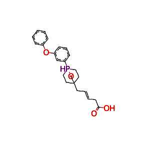 O=C(O)C/C=C/CC12CC[PH](c3cccc(Oc4ccccc4)c3)(CC1)OC2